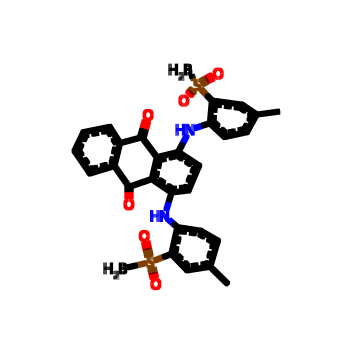 BS(=O)(=O)c1cc(C)ccc1Nc1ccc(Nc2ccc(C)cc2S(B)(=O)=O)c2c1C(=O)c1ccccc1C2=O